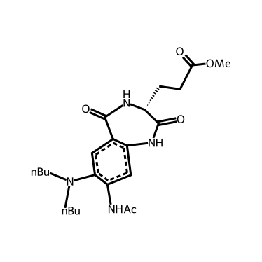 CCCCN(CCCC)c1cc2c(cc1NC(C)=O)NC(=O)[C@@H](CCC(=O)OC)NC2=O